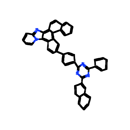 c1ccc(-c2nc(-c3ccc(-c4ccc5c(c4)c4c6ccccc6ccc4c4nc6ccccn6c54)cc3)nc(-c3ccc4ccccc4c3)n2)cc1